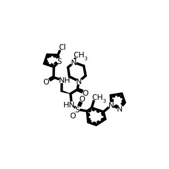 Cc1c(-n2cccn2)cccc1S(=O)(=O)N[C@@H](CNC(=O)c1ccc(Cl)s1)C(=O)N1CCN(C)CC1